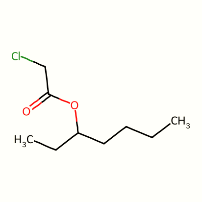 CCCCC(CC)OC(=O)CCl